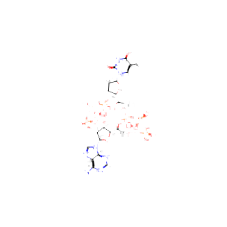 CCCC(OP(=O)(O)OP(=O)(O)OP(=O)(O)O[C@@H]1[C@H](O)[C@@H](C(CCC)OP(=O)(O)OP(=O)(O)OP(=O)(O)O)O[C@H]1n1cnc2c(N)ncnc21)[C@@H]1CC[C@H](n2cc(C)c(=O)[nH]c2=O)O1